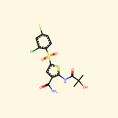 CC(C)(O)C(=O)Nc1sc(S(=O)(=O)c2ccc(F)cc2Cl)cc1C(N)=O